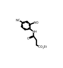 CCOC(=O)CCC(=O)Nc1ccc(C#N)cc1N=O